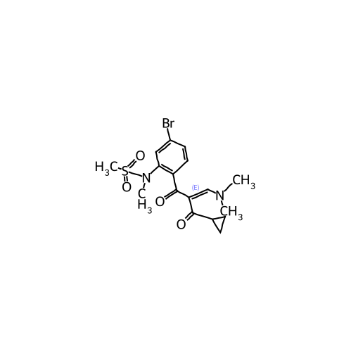 CN(C)/C=C(/C(=O)c1ccc(Br)cc1N(C)S(C)(=O)=O)C(=O)C1CC1